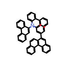 c1ccc(-c2ccccc2N(c2cccc(-c3cc4ccccc4c4c3ccc3ccccc34)c2)c2cc3ccccc3c3ccccc23)cc1